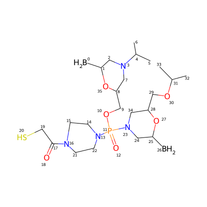 BC1CN(C(C)C)CC(COP(=O)(N2CCN(C(=O)CS)CC2)N2CC(B)OC(COC(C)C)C2)O1